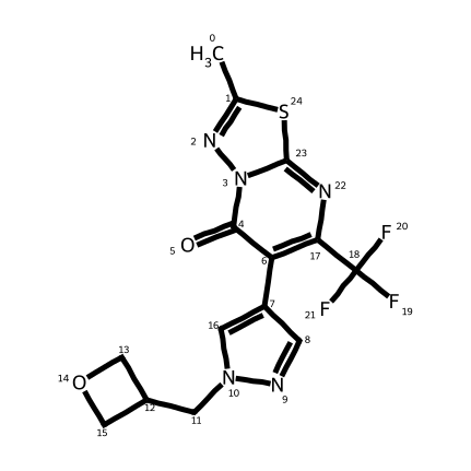 Cc1nn2c(=O)c(-c3cnn(CC4COC4)c3)c(C(F)(F)F)nc2s1